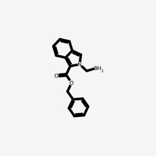 BCn1cc2ccccc2c1C(=O)OCc1ccccc1